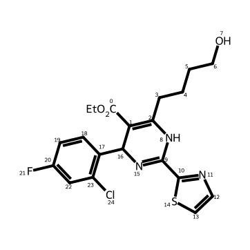 CCOC(=O)C1=C(CCCCO)NC(c2nccs2)=NC1c1ccc(F)cc1Cl